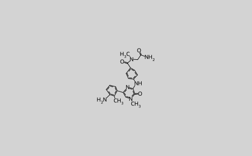 Cc1c(N)cccc1-c1cn(C)c(=O)c(Nc2ccc(C(=O)N(C)CC(N)=O)cc2)n1